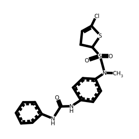 CN(c1ccc(NC(=O)Nc2ccccc2)cc1)S(=O)(=O)C1CC=C(Cl)S1